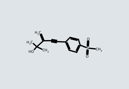 C=C(C#Cc1ccc(S(C)(=O)=O)cc1)C(C)(C)O